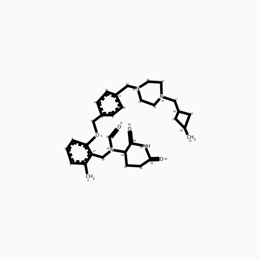 Cc1cccc(OCc2ccc(CN3CCN(CC4CC(C)C4)CC3)cc2)c1CN(C=O)C1CCC(=O)NC1=O